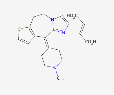 CN1CCC(=C2c3ccsc3CCn3ccnc32)CC1.O=C(O)C=CC(=O)O